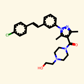 Cc1nn(-c2cccc(C=Cc3ccc(Cl)cc3)c2)c(C)c1C(=O)N1CCN(CCO)CC1